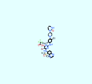 CCc1cc(Nc2ncc(Br)c(Nc3ccc4nccnc4c3P(C)(C)=O)n2)c(OC)cc1N1CCC(N2C=CC=CNC2=O)CC1.O=C(O)C(F)(F)F